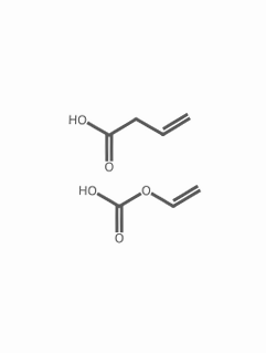 C=CCC(=O)O.C=COC(=O)O